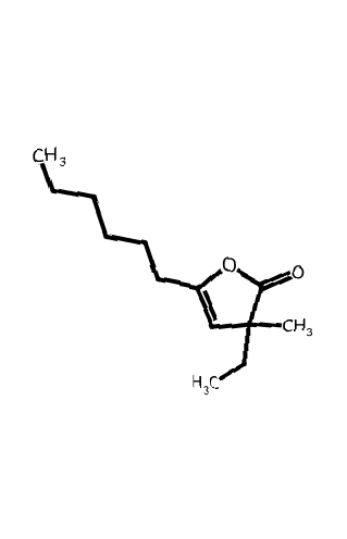 CCCCCCC1=CC(C)(CC)C(=O)O1